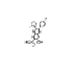 CC1CCCN1c1nc2nc(C(=O)O)c(O)cc2nc1-c1ccc(F)cc1